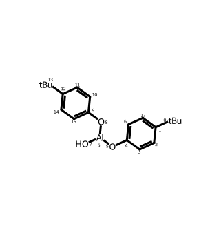 CC(C)(C)c1ccc([O][Al]([OH])[O]c2ccc(C(C)(C)C)cc2)cc1